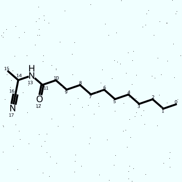 CCCCCCCCCCCC(=O)NC(C)C#N